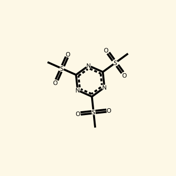 CS(=O)(=O)c1nc(S(C)(=O)=O)nc(S(C)(=O)=O)n1